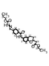 CCCOC(=O)NN=Cc1ccc(C(=O)Nc2ccc3c(c2)CCC(CC(=O)OCC)O3)cc1